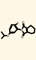 CC(C)Oc1ccc(F)c(N2C(=O)C3=C(CCCC3)C2=O)c1